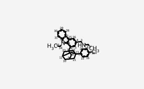 CCNCc1cc(C23CC4CC(CC(c5ccc(Cl)cc5)(C4)C2)C3)c2c(c1)c1ccccc1n2CC